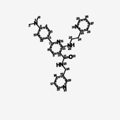 CN(C)c1ccc(-c2ccc(C(=O)NCc3cccnc3)c(NCCc3ccccn3)n2)cc1